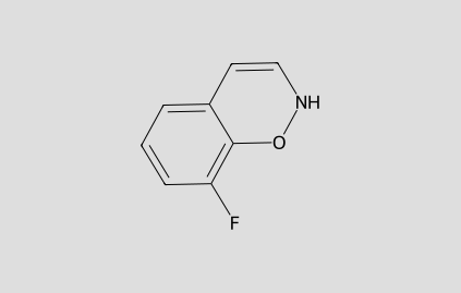 Fc1cccc2c1ONC=C2